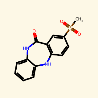 CS(=O)(=O)c1ccc2c(c1)C(=O)Nc1ccccc1N2